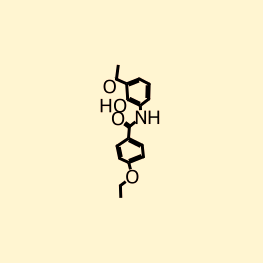 CCOc1ccc(C(=O)Nc2cccc(C(C)=O)c2O)cc1